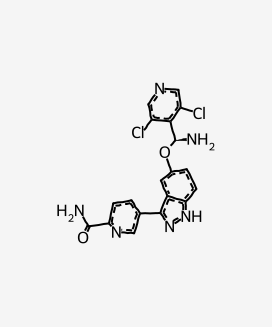 NC(=O)c1ccc(-c2n[nH]c3ccc(O[C@H](N)c4c(Cl)cncc4Cl)cc23)cn1